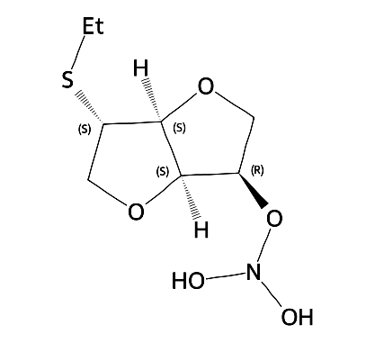 CCS[C@H]1CO[C@H]2[C@@H]1OC[C@H]2ON(O)O